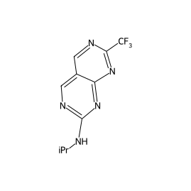 CC(C)Nc1ncc2cnc(C(F)(F)F)nc2n1